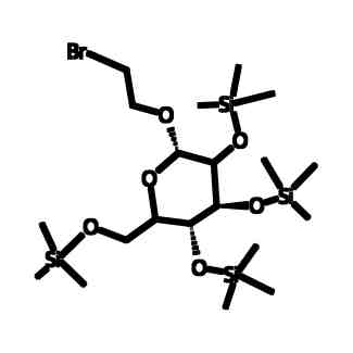 C[Si](C)(C)OCC1O[C@H](OCCBr)C(O[Si](C)(C)C)[C@@H](O[Si](C)(C)C)[C@@H]1O[Si](C)(C)C